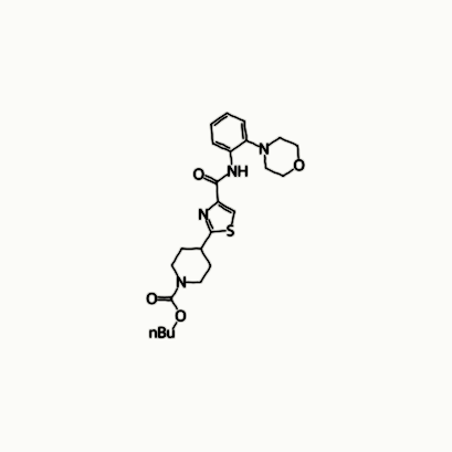 CCCCOC(=O)N1CCC(c2nc(C(=O)Nc3ccccc3N3CCOCC3)cs2)CC1